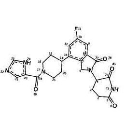 O=C1CCC(N2Cc3c(cc(F)cc3C3CCN(C(=O)c4cnc[nH]4)CC3)C2=O)C(=O)N1